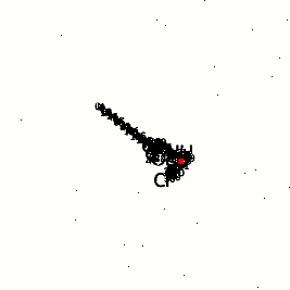 CCCCCCCCCCCCCCCCOc1ccc(CCNC(=O)C23CC4CC(C2)CC(c2ccc(Cl)cc2)(C4)C3)cc1OC(C)=O